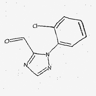 O=Cc1ncnn1-c1ccccc1Cl